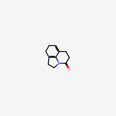 O=C1CCC2=CCCC3=C2N1CC3